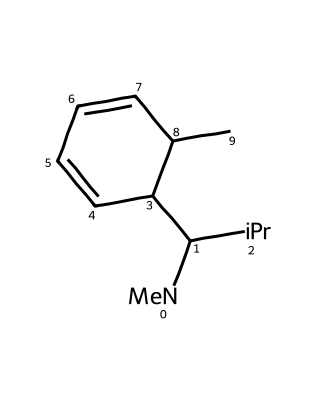 CNC(C(C)C)C1C=CC=CC1C